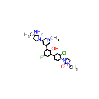 CN1C=C(c2cc(F)cc(-c3ccc(-n4ccn(C)c4=O)c(Cl)c3)c2O)C=C(N2CCC(C)(N)C2)C1